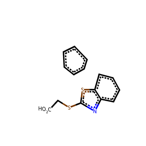 O=C(O)CSc1nc2ccccc2s1.c1ccccc1